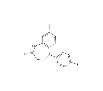 O=C1CCC(c2ccc(F)cc2)c2ccc(F)cc2N1